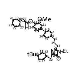 CCn1c(CCCc2ccc(-c3cc(OC)c(ONSc4ccccc4)cn3)cc2)nn(Cc2ccc(C(C)(C)C)cc2)c1=O